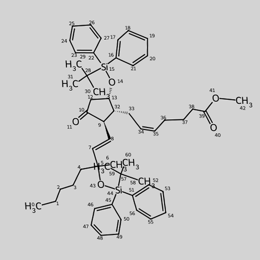 CCCCCC(C)(/C=C/[C@H]1C(=O)C[C@H](O[Si](c2ccccc2)(c2ccccc2)C(C)(C)C)[C@@H]1C/C=C\CCCC(=O)OC)O[Si](c1ccccc1)(c1ccccc1)C(C)(C)C